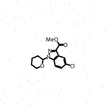 COC(=O)c1nn(C2CCCCO2)c2ccc(Cl)cc12